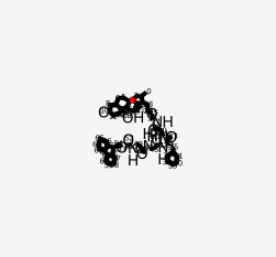 CC1CC2C3CCC4=CC(=O)C=CC4(C)C3(Cl)C(O)CC2(C)C1CCOCNC(=O)CNC(=O)[C@H](Cc1ccccc1)NC(=O)CNC(=O)CNC(=O)OCC1c2ccccc2-c2ccccc21